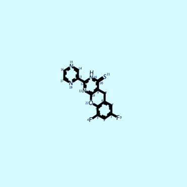 Fc1cc(F)c2c(c1)Cc1c(nc(-c3cnccn3)[nH]c1=S)O2